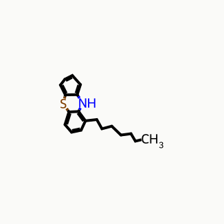 CCCCCCCc1cccc2c1Nc1ccccc1S2